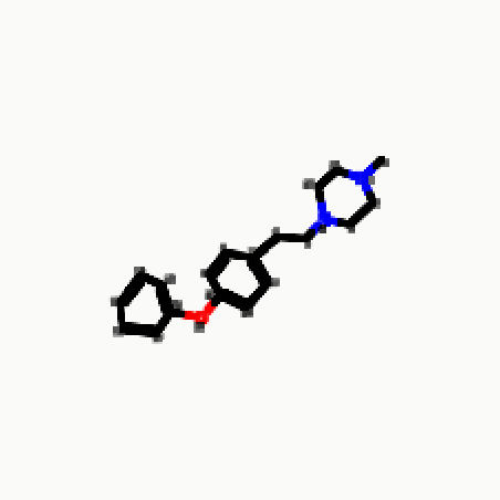 CN1CCN(C[CH]c2ccc(Oc3ccccc3)cc2)CC1